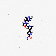 CNC(=O)c1ccc(-c2cc(C)nc(C3CN(C(=O)c4cnc(C)nc4C)CCO3)c2)cn1